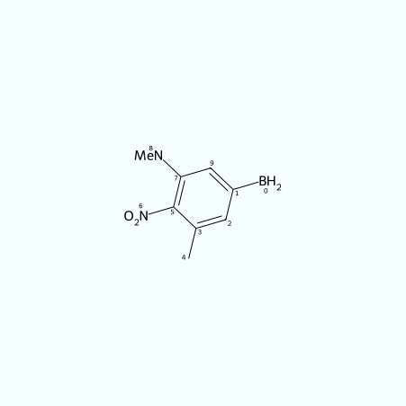 Bc1cc(C)c([N+](=O)[O-])c(NC)c1